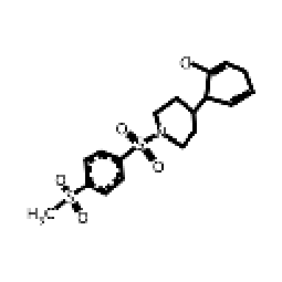 CS(=O)(=O)c1ccc(S(=O)(=O)N2CCC(C3C=CCC=C3Cl)CC2)cc1